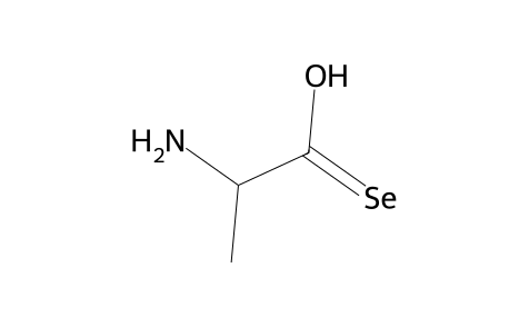 CC(N)C(O)=[Se]